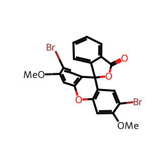 COc1cc2c(cc1Br)C1(OC(=O)c3ccccc31)c1cc(Br)c(OC)cc1O2